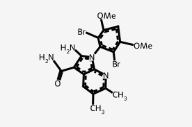 COc1cc(OC)c(Br)c(-n2c(N)c(C(N)=O)c3cc(C)c(C)nc32)c1Br